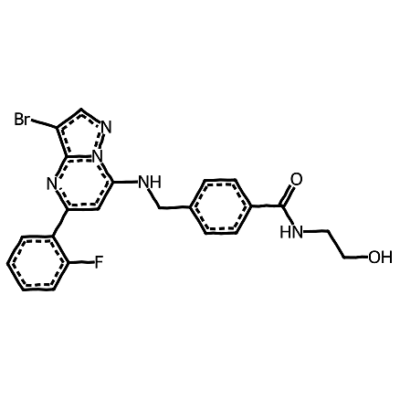 O=C(NCCO)c1ccc(CNc2cc(-c3ccccc3F)nc3c(Br)cnn23)cc1